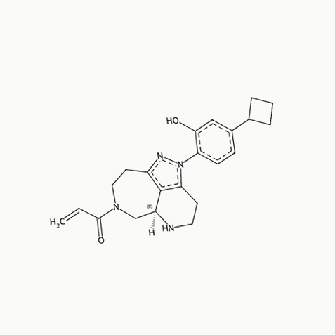 C=CC(=O)N1CCc2nn(-c3ccc(C4CCC4)cc3O)c3c2[C@H](C1)NCC3